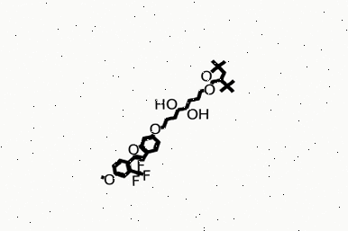 COc1ccc(-c2cc3ccc(OCCCC(O)C(O)CCCOC(=O)C(CC(C)(C)C)C(C)(C)C)cc3o2)c(C(F)(F)F)c1